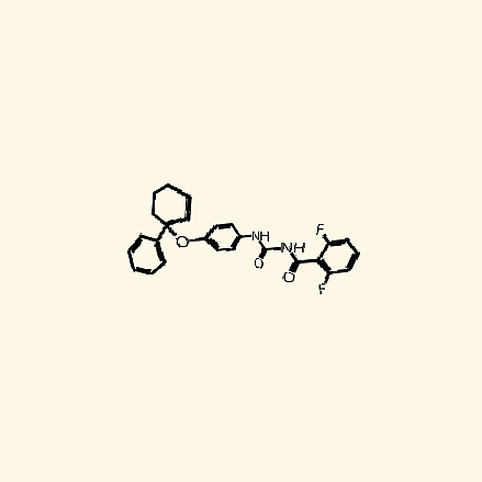 O=C(NC(=O)c1c(F)cccc1F)Nc1ccc(OC2(c3ccccc3)CCCCC2)cc1